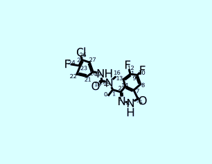 CC(c1n[nH]c(=O)c2cc(F)c(F)cc12)N(C)C(=O)Nc1ccc(F)c(Cl)c1